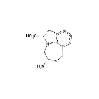 N[C@H]1CCc2cccc3c2N(C1)[C@H](C(=O)O)C3